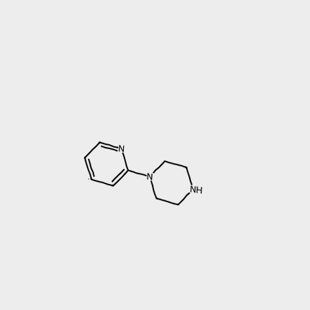 [c]1ccnc(N2CCNCC2)c1